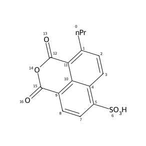 CCCc1ccc2c(S(=O)(=O)O)ccc3c2c1C(=O)OC3=O